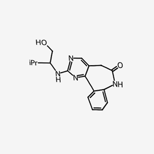 CC(C)C(CO)Nc1ncc2c(n1)-c1ccccc1NC(=O)C2